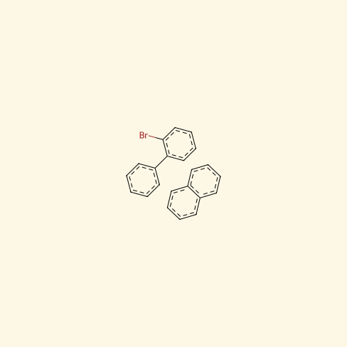 Brc1ccccc1-c1ccccc1.c1ccc2ccccc2c1